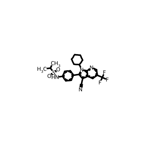 CC(C)S(=O)(=O)Nc1ccc(-c2c(C#N)c3cc(C(F)(F)F)cnc3n2C2CCCCC2)cc1